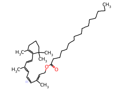 CCCCCCCCCCCCCCCC(=O)OCC=C(C)/C=C\C=C(C)C=CC1=C(C)CCCC1(C)C